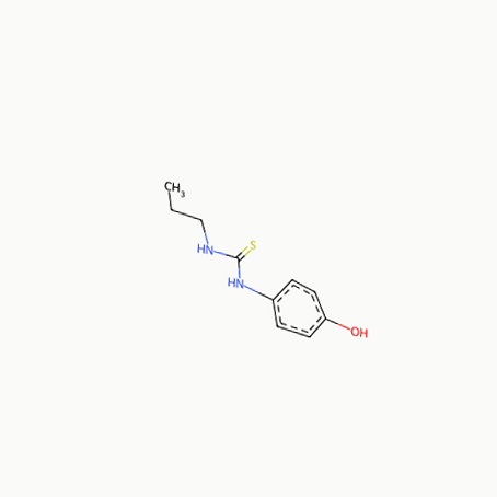 CCCNC(=S)Nc1ccc(O)cc1